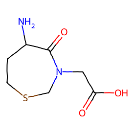 NC1CCSCN(CC(=O)O)C1=O